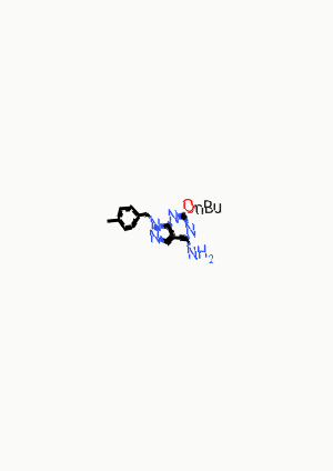 CCCCOc1nc(N)c2cnn(Cc3ccc(C)cc3)c2n1